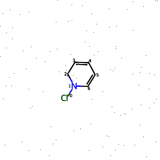 ClN1[CH]C=CC=C1